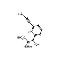 CCCCCCC#Cc1cccc(C(O)C(NC(C)=O)C(=O)OCC)n1